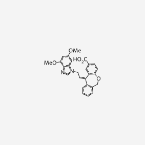 COc1cc(OC)c2ncn(CC=C3c4ccccc4COc4ccc(C(=O)O)cc43)c2c1